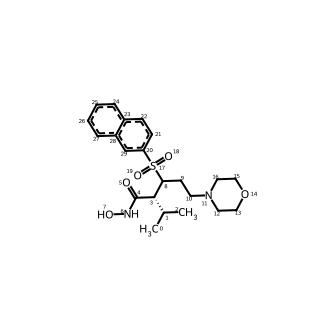 CC(C)[C@H](C(=O)NO)C(CCN1CCOCC1)S(=O)(=O)c1ccc2ccccc2c1